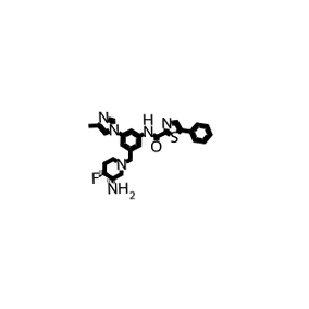 Cc1cn(-c2cc(CN3CC[C@@H](F)[C@H](N)C3)cc(NC(=O)c3ncc(-c4ccccc4)s3)c2)cn1